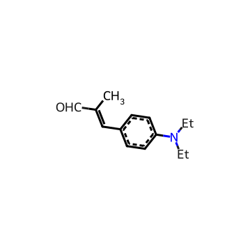 CCN(CC)c1ccc(/C=C(\C)C=O)cc1